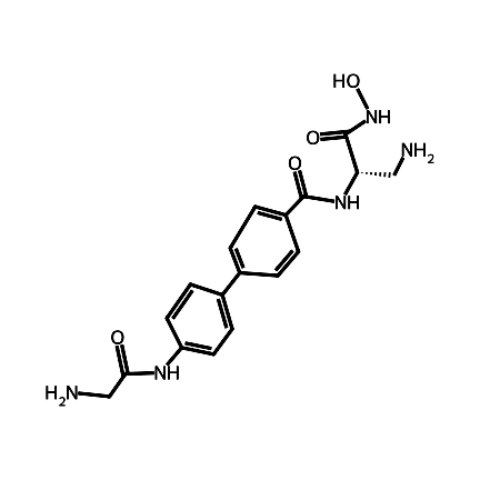 NCC(=O)Nc1ccc(-c2ccc(C(=O)N[C@@H](CN)C(=O)NO)cc2)cc1